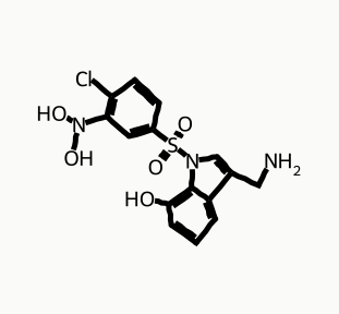 NCc1cn(S(=O)(=O)c2ccc(Cl)c(N(O)O)c2)c2c(O)cccc12